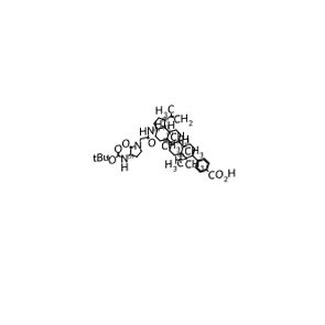 C=C(C)[C@@H]1CC[C@]2(NC(=O)CN3CC[C@H](NC(=O)OC(C)(C)C)C3=O)CC[C@]3(C)[C@H](CC[C@@H]4[C@@]5(C)CC=C(c6ccc(C(=O)O)cc6)C(C)(C)[C@@H]5CC[C@]43C)[C@@H]12